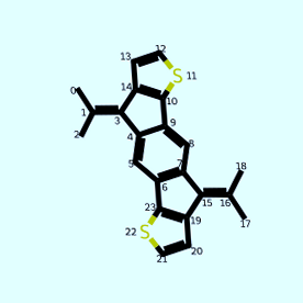 CC(C)=C1c2cc3c(cc2-c2sccc21)C(=C(C)C)c1ccsc1-3